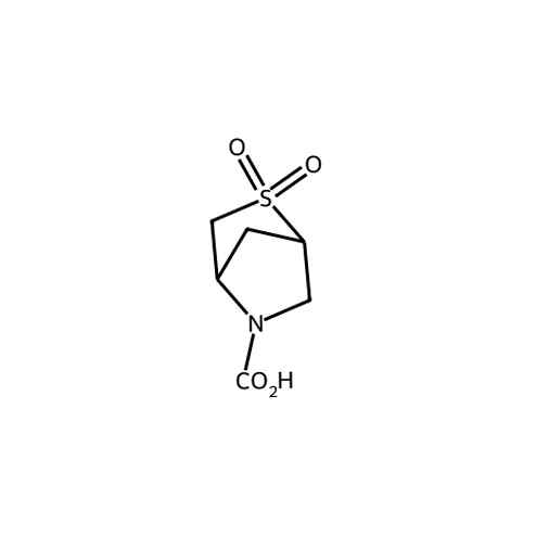 O=C(O)N1CC2CC1CS2(=O)=O